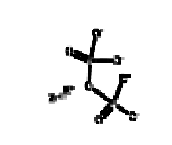 O=P([O-])([O-])OP(=O)([O-])[O-].[K+].[Zr+4]